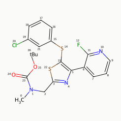 CN(Cc1nc(-c2cccnc2F)c(Sc2cccc(Cl)c2)s1)C(=O)OC(C)(C)C